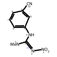 CN/C(=N/[N+](=O)[O-])Nc1cccc(C#N)c1